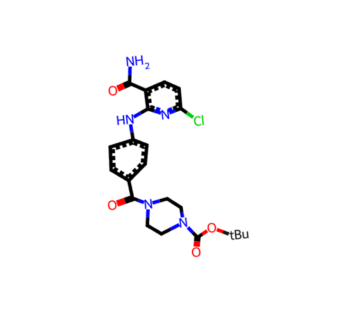 CC(C)(C)OC(=O)N1CCN(C(=O)c2ccc(Nc3nc(Cl)ccc3C(N)=O)cc2)CC1